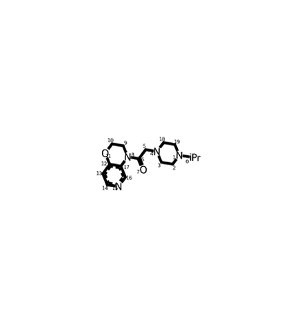 CC(C)N1CCN(CC(=O)N2CCOc3ccncc32)CC1